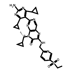 CCS(=O)(=O)c1ccc(CNc2nc3cnc(-c4c(C5CC5)nc(N)nc4C4CC4)nc3n([C@@H](C)C3CC3)c2=O)nc1